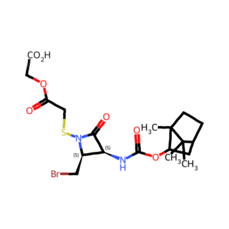 CC1(C)C2CCC1(C)C(OC(=O)N[C@@H]1C(=O)N(SCC(=O)OCC(=O)O)[C@@H]1CBr)C2